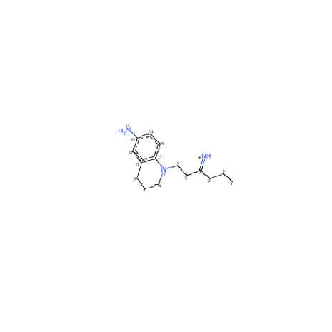 CCCC(=N)CCN1CCCc2cc(N)ccc21